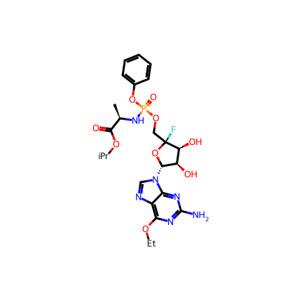 CCOc1nc(N)nc2c1ncn2[C@@H]1O[C@](F)(COP(=O)(N[C@H](C)C(=O)OC(C)C)Oc2ccccc2)[C@@H](O)[C@H]1O